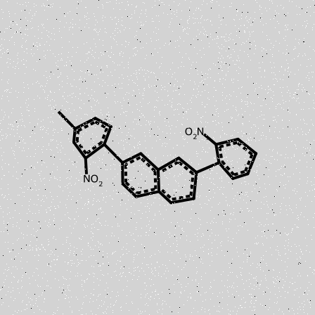 Cc1ccc(-c2ccc3ccc(-c4ccccc4[N+](=O)[O-])cc3c2)c([N+](=O)[O-])c1